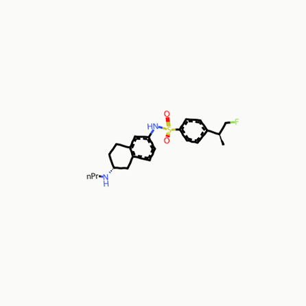 CCCN[C@@H]1CCc2cc(NS(=O)(=O)c3ccc([C@H](C)CF)cc3)ccc2C1